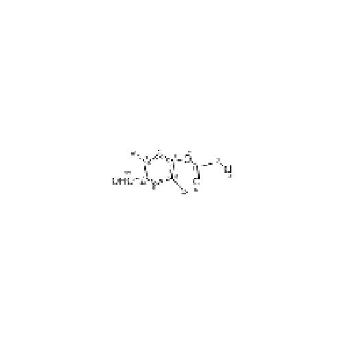 Cc1cc(OC(=O)CCl)c(C)cc1C=O